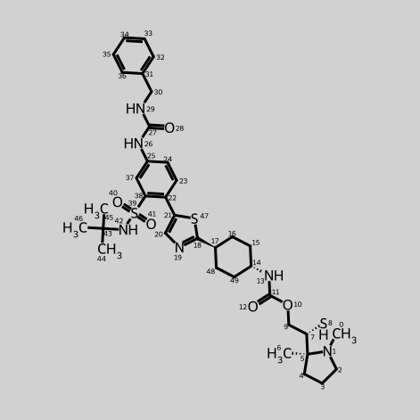 CN1CCC[C@@]1(C)[C@@H](S)COC(=O)N[C@H]1CC[C@H](c2ncc(-c3ccc(NC(=O)NCc4ccccc4)cc3S(=O)(=O)NC(C)(C)C)s2)CC1